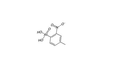 Cc1ccc([As](=O)(O)O)c([N+](=O)[O-])c1